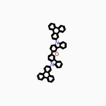 c1ccc2c(c1)c1ccccc1c1cc(-n3c4ccccc4c4c5oc6c(ccc7c6c6ccccc6n7-c6ccc7c8ccccc8c8ccccc8c7c6)c5ccc43)ccc21